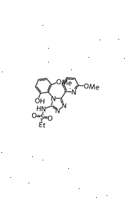 CCS(=O)(=O)Nc1nnc(C2=C=C=CC(OC)=N2)n1-c1c(O)cccc1OC